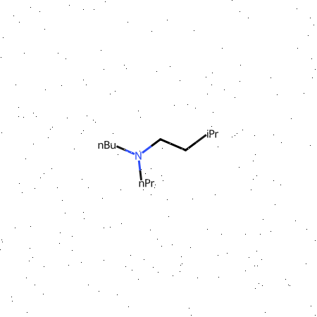 CCCCN(CCC)CCC(C)C